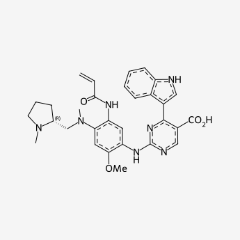 C=CC(=O)Nc1cc(Nc2ncc(C(=O)O)c(-c3c[nH]c4ccccc34)n2)c(OC)cc1N(C)C[C@H]1CCCN1C